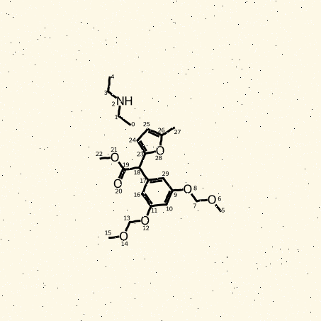 CCNCC.COCOc1cc(OCOC)cc(C(C(=O)OC)c2ccc(C)o2)c1